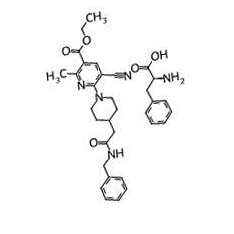 CCOC(=O)c1cc(C#N)c(N2CCC(CC(=O)NCc3ccccc3)CC2)nc1C.N[C@@H](Cc1ccccc1)C(=O)O